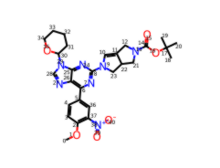 COc1ccc(-c2nc(N3C=C4CN(C(=O)OC(C)(C)C)CC4C3)nc3c2ncn3C2CCCCO2)cc1[N+](=O)[O-]